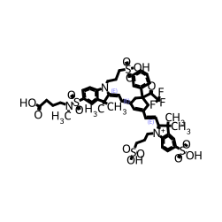 CN(CCCC(=O)O)S(=O)(=O)c1ccc2c(c1)C(C)(C)/C(=C\C=C1C=C(/C=C/C3=[N+](CCCS(=O)(=O)O)c4ccc(S(=O)(=O)O)cc4C3(C)C)CC(C(=O)C(F)(F)F)(c3ccccc3)C\1)N2CCCS(=O)(=O)O